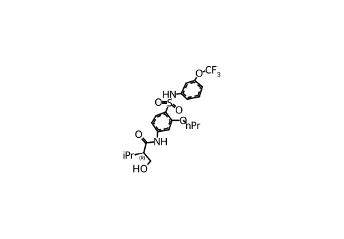 CCCOc1cc(NC(=O)[C@@H](CO)C(C)C)ccc1S(=O)(=O)Nc1cccc(OC(F)(F)F)c1